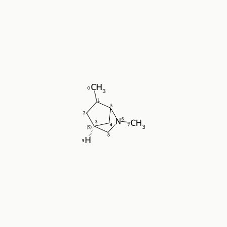 CC1C[C@H]2CC1N(C)C2